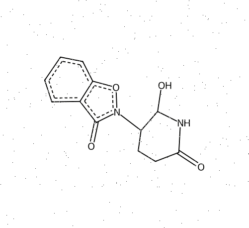 O=C1CCC(n2oc3ccccc3c2=O)C(O)N1